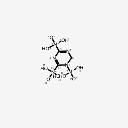 [O-][N+](O)(O)C1=NCN([N+]([O-])(O)O)C([N+]([O-])(O)O)=N1